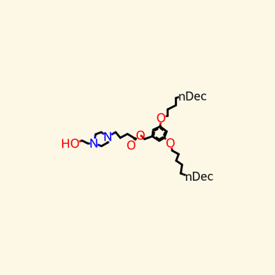 CCCCCCCCCCCCCCCOc1cc(COC(=O)CCCN2CCN(CCO)CC2)cc(OCCCCCCCCCCCCCC)c1